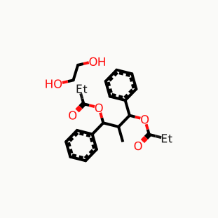 CCC(=O)OC(c1ccccc1)C(C)C(OC(=O)CC)c1ccccc1.OCCO